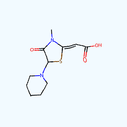 CN1C(=O)C(N2CCCCC2)SC1=CC(=O)O